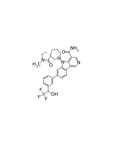 CN1CC[C@@]2(CCCN(n3c4cc(-c5cccc(C(O)C(F)(F)F)c5)ccc4c4cncc(C(N)=O)c43)C2)C1=O